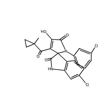 CC1(C(=O)C2=C(O)C(=O)N(c3cccc(Cl)c3)C23C(=O)Nc2cc(Cl)ccc23)CC1